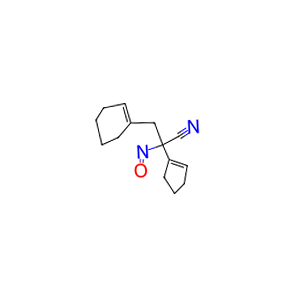 N#CC(CC1=CCCCC1)(N=O)C1=CCCC1